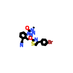 Cn1nnn(-c2cccc(C#N)c2COc2nc(-c3ccc(Br)cc3)cs2)c1=O